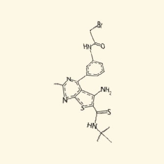 Cc1nc(-c2cccc(NC(=O)CBr)c2)c2c(N)c(C(=S)NC(C)(C)C)sc2n1